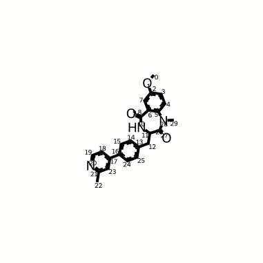 COc1ccc2c(c1)C(=O)NC(Cc1ccc(-c3ccnc(C)c3)cc1)C(=O)N2C